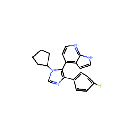 Fc1ccc(-c2ncn(C3CCCC3)c2-c2ccnc3[nH]ccc23)cc1